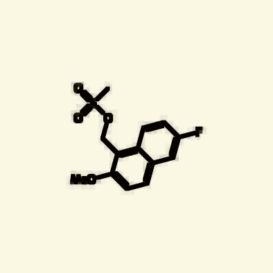 COc1ccc2cc(F)ccc2c1COS(C)(=O)=O